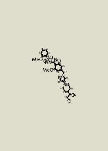 COc1ccccc1S(=O)(=O)Nc1noc2cc(Cn3cc(N4CCC(C(=O)CCl)CC4)cn3)cc(OC)c12